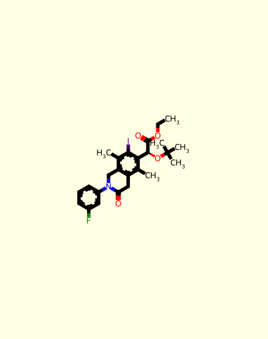 CCOC(=O)[C@@H](OC(C)(C)C)c1c(C)c2c(c(C)c1I)CN(c1cccc(F)c1)C(=O)C2